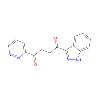 O=C(CCC(=O)c1n[nH]c2ccccc12)c1cccnn1